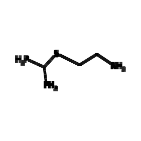 NCCSC(P)P